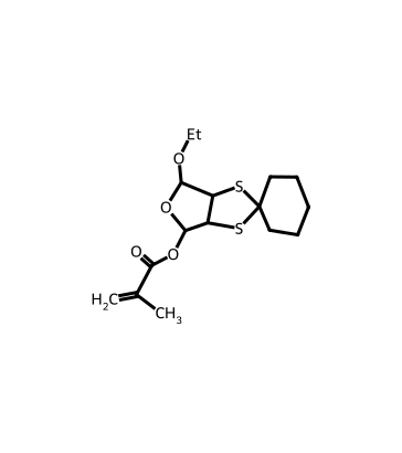 C=C(C)C(=O)OC1OC(OCC)C2SC3(CCCCC3)SC12